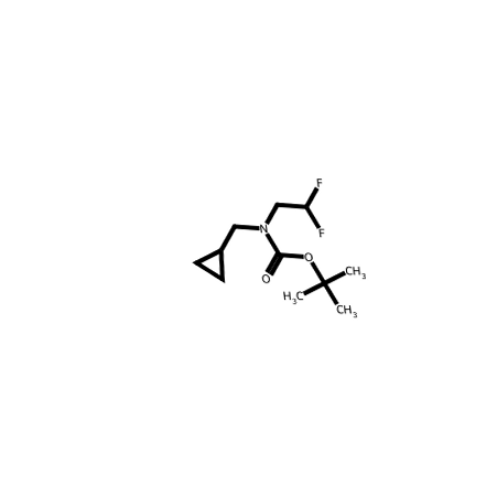 CC(C)(C)OC(=O)N(CC(F)F)CC1CC1